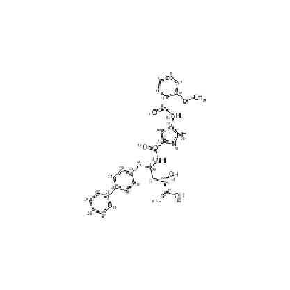 COc1ccccc1C(=O)Nc1cc(C(=O)N[C@H](Cc2ccc(-c3ccccc3)cc2)C[C@@H](O)C(=O)O)n[nH]1